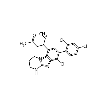 CCC(CC(C)=O)c1cc(-c2ccc(Cl)cc2Cl)c(Cl)c2nc3n(c12)CCCN3